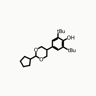 CC(C)(C)c1cc(C2COC(C3CCCC3)OC2)cc(C(C)(C)C)c1O